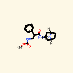 CN1[C@H]2CC[C@H]1CC(NC(=O)C(CNC(=O)OC(C)(C)C)c1ccccc1)C2